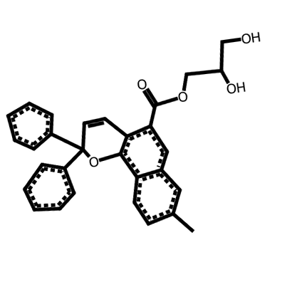 Cc1ccc2c3c(c(C(=O)OCC(O)CO)cc2c1)C=CC(c1ccccc1)(c1ccccc1)O3